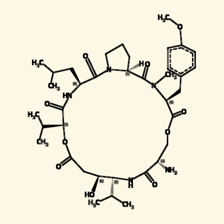 COc1ccc(C[C@H]2C(=O)OC[C@H](N)C(=O)N[C@H](C(C)C)[C@@H](O)CC(=O)O[C@@H](C(C)C)C(=O)N[C@@H](CC(C)C)C(=O)N3CCC[C@H]3C(=O)N2C)cc1